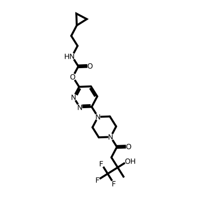 CC(O)(CC(=O)N1CCN(c2ccc(OC(=O)NCCC3CC3)nn2)CC1)C(F)(F)F